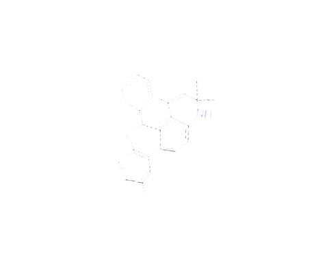 CC1=CC(C)(C)Nc2ccc3c(c21)C(C1C=CCCC1)Oc1ccc(F)cc1-3